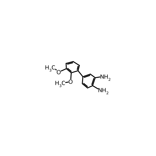 COc1cccc(-c2ccc(N)c(N)c2)c1OC